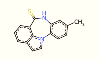 Cc1ccc2c(c1)NC(=S)c1cccc3ccn-2c13